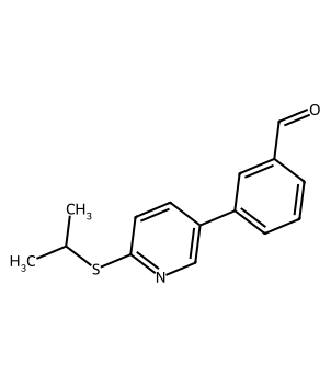 CC(C)Sc1ccc(-c2cccc(C=O)c2)cn1